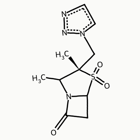 CC1N2C(=O)CC2S(=O)(=O)[C@@]1(C)Cn1ccnn1